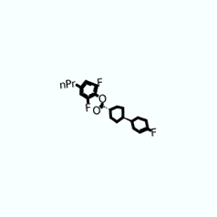 CCCc1cc(F)c(OC(=O)[C@H]2CC[C@H](C3CC=C(F)CC3)CC2)c(F)c1